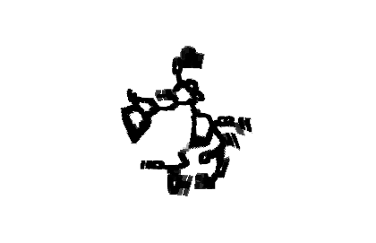 Cn1cc(C[C@@H](NC(=O)OC(C)(C)C)C(=O)N2C[C@@H](CCB(O)O)C[C@](NC(=O)OC(C)(C)C)(C(=O)O)C2)c2ccccc21